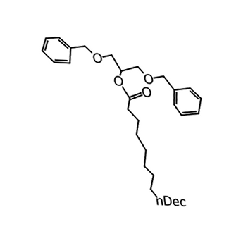 CCCCCCCCCCCCCCCCCC(=O)OC(COCc1ccccc1)COCc1ccccc1